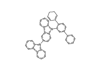 C1=CC(c2ccc(-c3ccccc3)cc2-n2c3ccccc3c3cc(-n4c5ccccc5c5ccccc54)ccc32)=CCC1